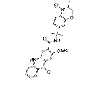 CCN1c2ccc(C(C)(C)NC(=O)c3cc4[nH]c5ccccc5c(=O)c4cc3OC)cc2OCC1C